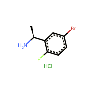 C[C@H](N)c1cc(Br)ccc1F.Cl